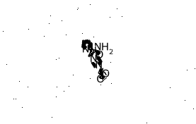 CS(=O)(=O)CCN1CCN(C=C(C(N)=O)c2ccccn2)CC1